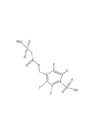 O=C(CS(=O)(=O)O)OCc1c(F)c(F)c(S(=O)(=O)O)c(F)c1F